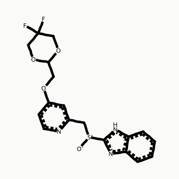 [O-][S+](Cc1cc(OCC2OCC(F)(F)CO2)ccn1)c1nc2ccccc2[nH]1